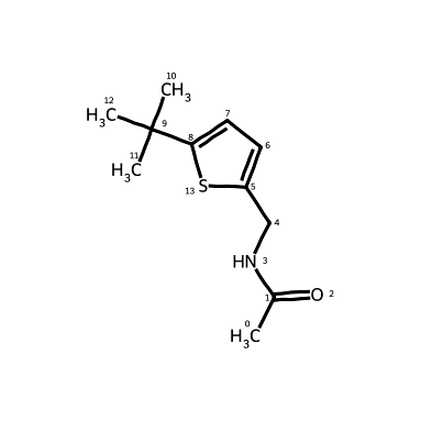 CC(=O)NCc1ccc(C(C)(C)C)s1